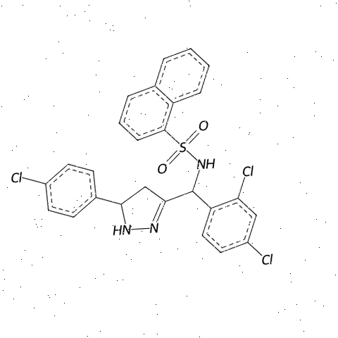 O=S(=O)(NC(C1=NNC(c2ccc(Cl)cc2)C1)c1ccc(Cl)cc1Cl)c1cccc2ccccc12